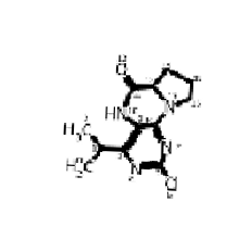 CC(C)c1nc(Cl)nc2c1NC(=O)C1CCCN21